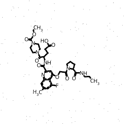 CCCNC(=O)C1CCCN1C(=O)COc1cc(C(=O)NC(CCC(=O)O)C(=O)N2CCN(C(=O)OCC)CC2)nc2cc(C)cc(F)c12